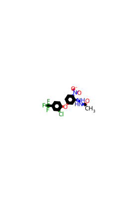 CC(=O)NNc1cc(Oc2ccc(C(F)(F)F)cc2Cl)ccc1[N+](=O)[O-]